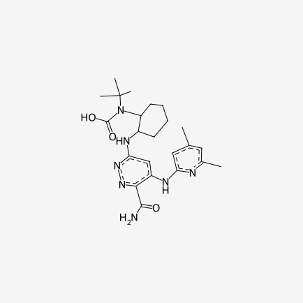 Cc1cc(C)nc(Nc2cc(NC3CCCCC3N(C(=O)O)C(C)(C)C)nnc2C(N)=O)c1